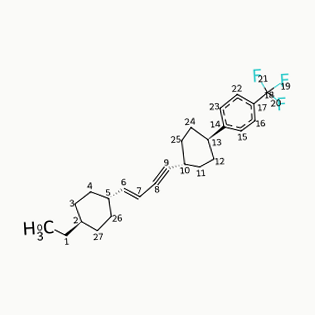 CC[C@H]1CC[C@H](C=CC#C[C@H]2CC[C@H](c3ccc(C(F)(F)F)cc3)CC2)CC1